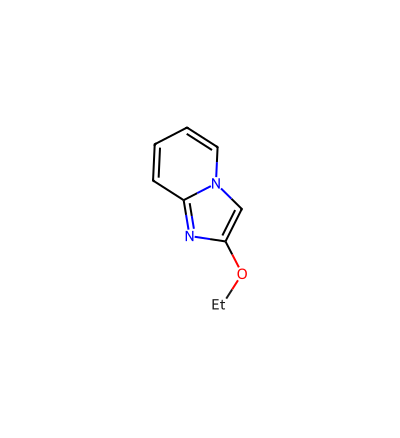 CCOc1cn2ccccc2n1